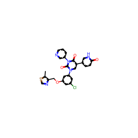 Cc1scnc1COc1cc(Cl)cc(-n2cc(-c3ccc(=O)[nH]c3)c(=O)n(-c3cccnc3)c2=O)c1